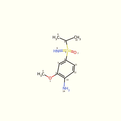 COc1cc(S(=N)(=O)C(C)C)ccc1N